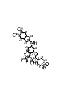 CN(C(=O)C1CCS(=O)(=O)CC1)C(c1ccc(NC2Cc3cc(Cl)c(Cl)cc3C2)cn1)C(F)(F)F